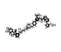 C[C@H]1C[C@H](CO)N(c2ccn3ncc(C(=O)Nc4cn([C@H]5CC[C@H](CN6CCO[C@H](COCCCNc7cccc8c7C(=O)N(C7CCC(=O)NC7=O)C8=O)C6)CC5)nc4C(F)F)c3n2)C1